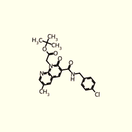 Cc1cnc2c(c1)cc(C(=O)NCc1ccc(Cl)cc1)c(=O)n2CC(=O)OC(C)(C)C